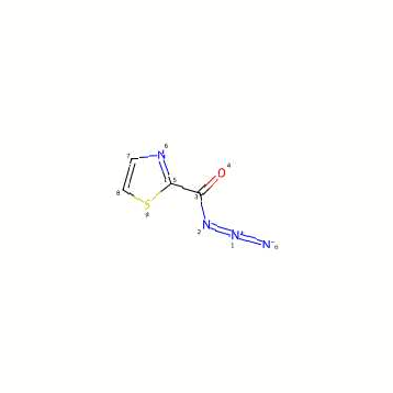 [N-]=[N+]=NC(=O)c1nccs1